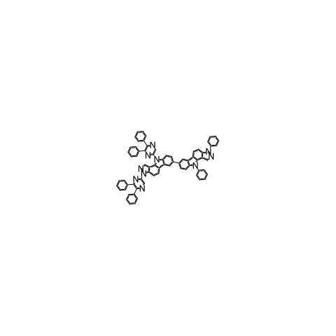 c1ccc(-c2ncc(-n3ncc4c3ccc3c5cc(-c6ccc7c(c6)c6ccc8c(cnn8-c8ccccc8)c6n7-c6ccccc6)ccc5n(-c5cnc(-c6ccccc6)c(-c6ccccc6)n5)c34)nc2-c2ccccc2)cc1